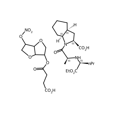 CCC[C@H](N[C@@H](C)C(=O)N1[C@H](C(=O)O)C[C@@H]2CCCC[C@@H]21)C(=O)OCC.O=C(O)CCC(=O)OC1COC2C(O[N+](=O)[O-])COC12